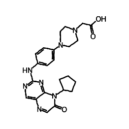 O=C(O)CN1CCN(c2ccc(Nc3ncc4ncc(=O)n(C5CCCC5)c4n3)cc2)CC1